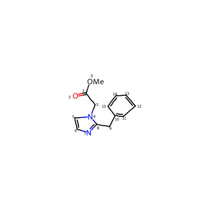 COC(=O)Cn1ccnc1Cc1ccccc1